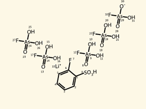 O=S(=O)(O)c1ccccc1F.O=[As](O)(O)F.O=[As](O)(O)F.O=[As](O)(O)F.O=[As](O)(O)F.O=[As]([O-])(O)F.[Li+]